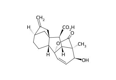 C=C1C[C@]23C[C@H]1CC[C@H]2[C@@]12C=C[C@H](O)[C@](C)(C(=O)O1)[C@H]2[C@@H]3C(=O)O